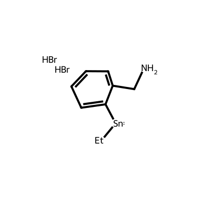 Br.Br.C[CH2][Sn][c]1ccccc1CN